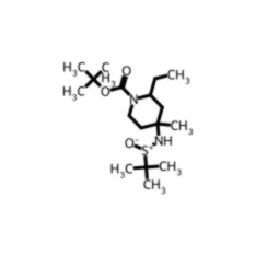 CCC1CC(C)(N[S+]([O-])C(C)(C)C)CCN1C(=O)OC(C)(C)C